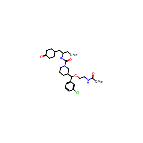 CNCC(CC1CCC(=O)CC1)NC(=O)N1CCCC(C(OCCNC(=O)OC)c2cccc(Cl)c2)C1